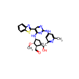 CO[C@H]1[C@H](C=O)[C@H](CO)C[C@H]1Nc1nc(Nc2cc(C)nc(C)c2)ncc1-c1nc2ccccc2s1